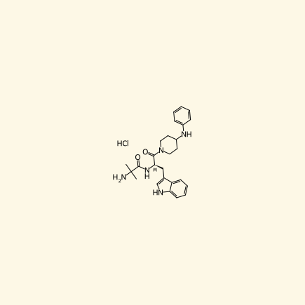 CC(C)(N)C(=O)N[C@H](Cc1c[nH]c2ccccc12)C(=O)N1CCC(Nc2ccccc2)CC1.Cl